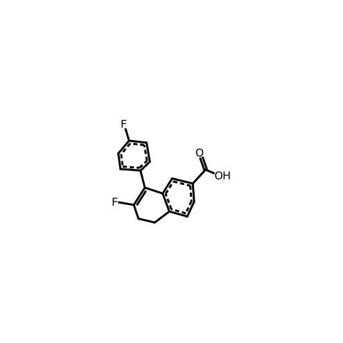 O=C(O)c1ccc2c(c1)C(c1ccc(F)cc1)=C(F)CC2